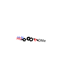 COCCOC[C@H]1CCc2cc([C@H]3CC[C@](N)(CO)C3)ccc2C1